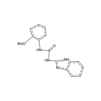 COc1ccccc1NC(=O)Nc1nc2ccccc2[nH]1